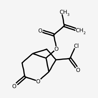 C=C(C)C(=O)OC1C2CC(=O)OC1C(C(=O)Cl)C2